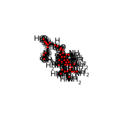 CC(=O)N[C@H](CCCNC(=N)N)C(=O)N[C@H](CCCNC(=N)N)C(=O)N[C@H](CCCNC(=N)N)C(=O)N[C@H](CCCNC(=N)N)C(=O)N[C@H](CCCNC(=N)N)C(=O)N[C@H](CCCNC(=N)N)C(=O)N[C@H](CCCNC(=N)N)C(=O)N[C@H](CCCNC(=N)N)C(=O)N[C@H](CSC1CC(=O)N(CCNC(=O)CCCCCN2/C(=C/C=C/C=C/C3=Nc4ccc(S(=O)(=O)O)cc4C3(C)C)C(C)(C)c3cc(S(=O)(=O)O)ccc32)C1=O)C(N)=O